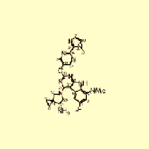 CNc1cc(F)cc2c1[nH]c1nc(Oc3cnc(-c4nccn4C)nc3)nc(N3C[C@H](N)C4(CC4)C3)c12